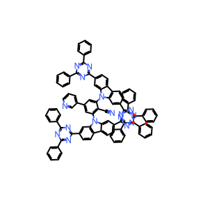 N#Cc1c(-n2c3cc(-c4nc(-c5ccccc5)nc(-c5ccccc5)n4)ccc3c3ccc(-c4nc(-c5ccccc5)nc(-c5ccccc5)n4)cc32)cc(-c2cccnc2)cc1-n1c2cc(-c3nc(-c4ccccc4)nc(-c4ccccc4)n3)ccc2c2ccc(-c3nc(-c4ccccc4)nc(-c4ccccc4)n3)cc21